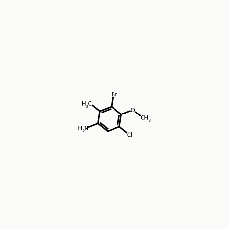 COc1c(Cl)cc(N)c(C)c1Br